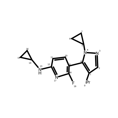 CC(C)c1cnn(C2CC2)c1-c1ccc(NC2CC2)nc1F